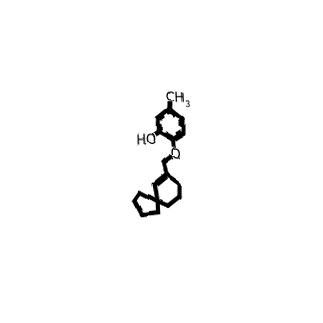 Cc1ccc(OCC2=CC3(CCCC3)CCC2)c(O)c1